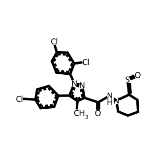 Cc1c(C(=O)NN2CCCCC2=S=O)nn(-c2ccc(Cl)cc2Cl)c1-c1ccc(Cl)cc1